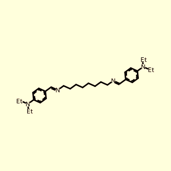 CCN(CC)c1ccc(C=NCCCCCCCCN=Cc2ccc(N(CC)CC)cc2)cc1